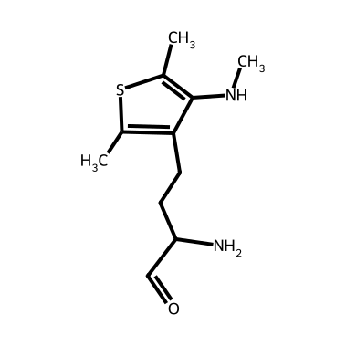 CNc1c(C)sc(C)c1CCC(N)C=O